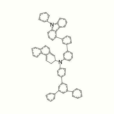 C1=c2ccc3ccccc3c2=CCC1N(c1ccc(-c2cc(-c3ccccc3)cc(-c3ccccc3)c2)cc1)c1cccc(-c2cccc(-c3cccc4c3c3ccccc3n4-c3ccccc3)c2)c1